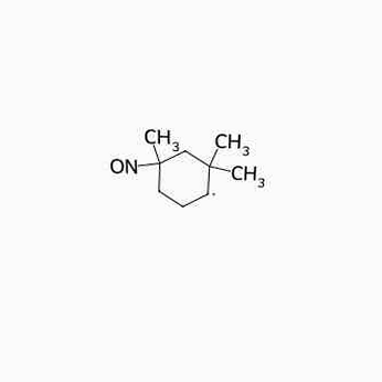 CC1(C)[CH]CCC(C)(N=O)C1